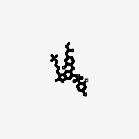 COC(=O)Cc1ccc(Oc2cc3c(cc2NS(=O)(=O)c2ccc(Cl)cc2Cl)nc(C)n3COCC[Si](C)(C)C)c(Cl)c1